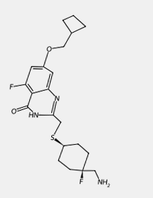 NC[C@]1(F)CC[C@@H](SCc2nc3cc(OCC4CCC4)cc(F)c3c(=O)[nH]2)CC1